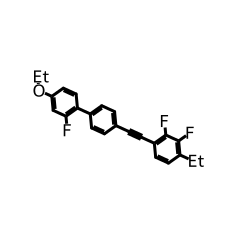 CCOc1ccc(-c2ccc(C#Cc3ccc(CC)c(F)c3F)cc2)c(F)c1